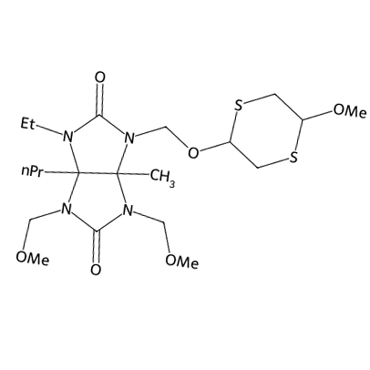 CCCC12N(CC)C(=O)N(COC3CSC(OC)CS3)C1(C)N(COC)C(=O)N2COC